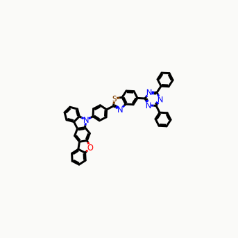 c1ccc(-c2nc(-c3ccccc3)nc(-c3ccc4sc(-c5ccc(-n6c7ccccc7c7cc8c(cc76)oc6ccccc68)cc5)nc4c3)n2)cc1